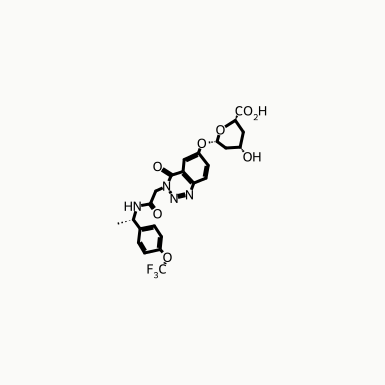 C[C@H](NC(=O)Cn1nnc2ccc(O[C@H]3C[C@@H](O)C[C@@H](C(=O)O)O3)cc2c1=O)c1ccc(OC(F)(F)F)cc1